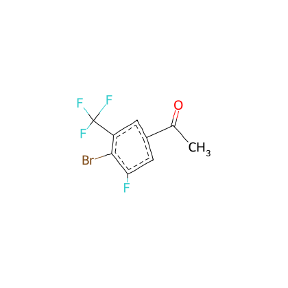 CC(=O)c1cc(F)c(Br)c(C(F)(F)F)c1